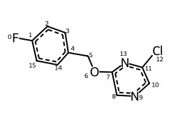 Fc1ccc(COc2cncc(Cl)n2)cc1